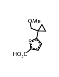 COCC1(c2ccc(C(=O)O)s2)CC1